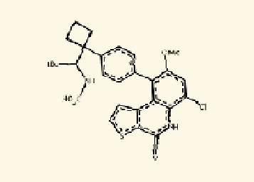 COc1cc(Cl)c2[nH]c(=O)c3sccc3c2c1-c1ccc(C2(C(NC(=O)O)C(C)(C)C)CCC2)cc1